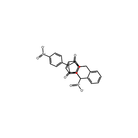 O=C1C2=C(C(=O)N1c1ccc([N+](=O)[O-])cc1)C1([N+](=O)[O-])c3ccccc3C2c2ccccc21